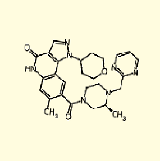 Cc1cc2[nH]c(=O)c3cnn(C4CCOCC4)c3c2cc1C(=O)N1CCN(Cc2ncccn2)[C@@H](C)C1